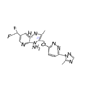 C/C(N)=C(\COc1ccc(-n2ncnc2C)nn1)N(N)c1ccc(C(F)F)cn1